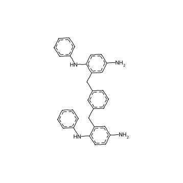 Nc1ccc(Nc2ccccc2)c(Cc2cccc(Cc3cc(N)ccc3Nc3ccccc3)c2)c1